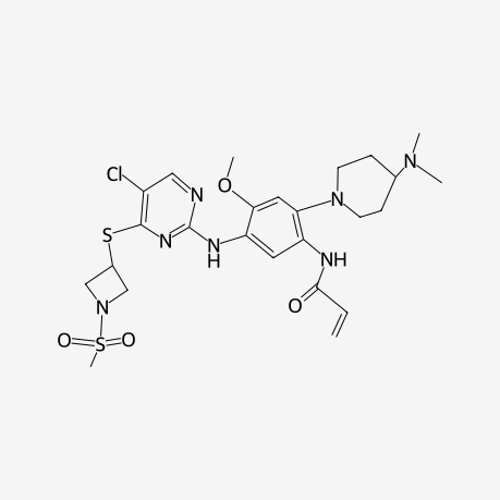 C=CC(=O)Nc1cc(Nc2ncc(Cl)c(SC3CN(S(C)(=O)=O)C3)n2)c(OC)cc1N1CCC(N(C)C)CC1